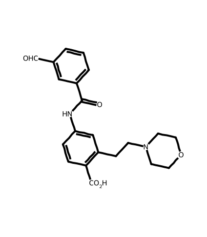 O=Cc1cccc(C(=O)Nc2ccc(C(=O)O)c(CCN3CCOCC3)c2)c1